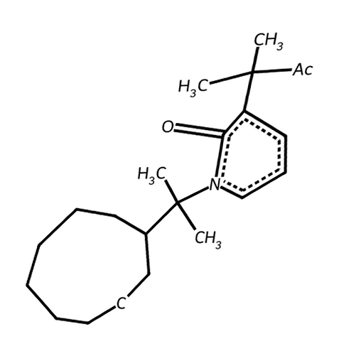 CC(=O)C(C)(C)c1cccn(C(C)(C)C2CCCCCCCC2)c1=O